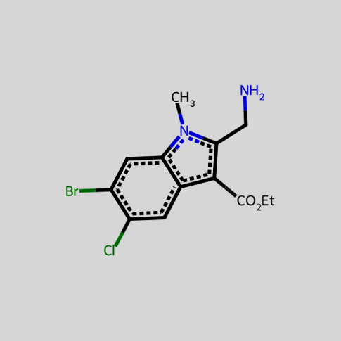 CCOC(=O)c1c(CN)n(C)c2cc(Br)c(Cl)cc12